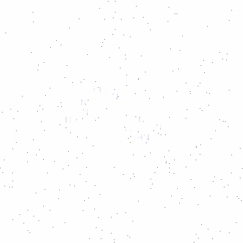 Cc1nn(C)cc1-c1cc(C(=O)/N=c2\[nH]c3ccccc3n2C2CCCC2)ccn1